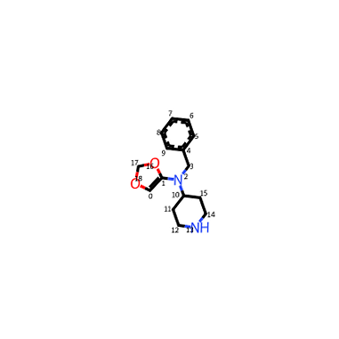 C1=C(N(Cc2ccccc2)C2CCNCC2)OCO1